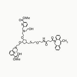 COC(=O)c1cccc(CN(CCO)CCOC2CC(CSCCOCCNC(=O)CCC(=O)N3Cc4ccccc4/C=C(/C)c4ccccc43)CC2OCCN(CCO)Cc2cccc(C(=O)OC)n2)n1